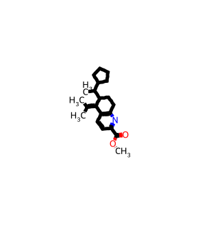 COC(=O)c1ccc2c(n1)CCC(C(C)C1CCCC1)C2=C(C)C